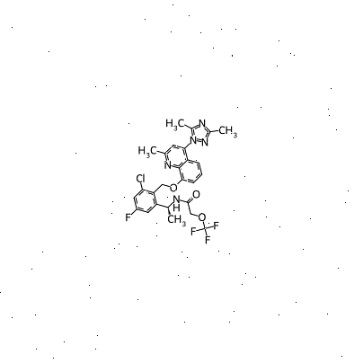 Cc1cc(-n2nc(C)nc2C)c2cccc(OCc3c(Cl)cc(F)cc3[C@H](C)NC(=O)COC(F)(F)F)c2n1